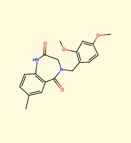 COc1ccc(CN2CC(=O)Nc3ccc(C)cc3C2=O)c(OC)c1